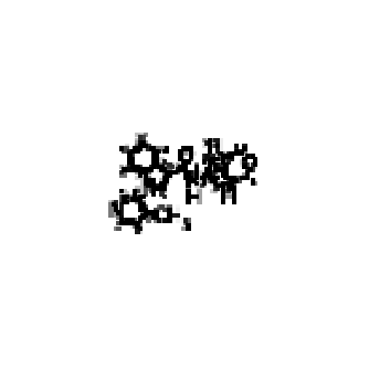 Cc1ccncc1-n1cc(C(=O)N[C@H]2C[C@H]3COC[C@@H](C2)N3C)c2ccccc21